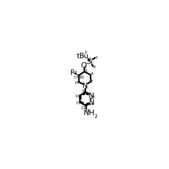 CC(C)(C)[Si](C)(C)OC1CCN(c2ccc(N)nn2)C[C@H]1F